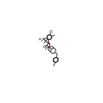 Cc1cc(/C=C/C(=O)N2C3CN(Cc4ccc(F)cc4)CC2CN(C(=O)OC(C)(C)C)C3)c(N)cc1Cl